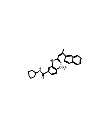 C/C(=C/C(=O)Nc1cc(C(=O)NC2CCCCC2)ccc1C(=O)O)c1ccc2ccccc2c1